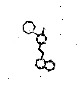 CCc1cnc(C=Cc2cccc3ccccc23)cc1N1CCCCCC1